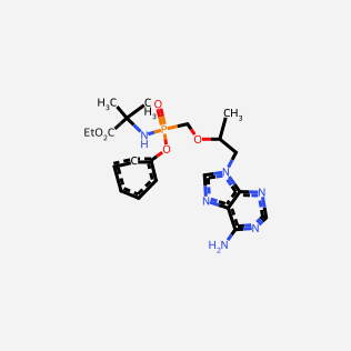 CCOC(=O)C(C)(C)NP(=O)(COC(C)Cn1cnc2c(N)ncnc21)Oc1ccccc1